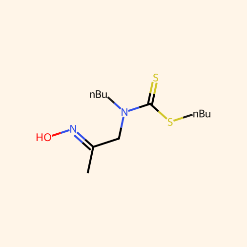 CCCCSC(=S)N(CCCC)CC(C)=NO